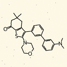 CN(C)c1cccc(-c2cccc(-c3c(N4CCOCC4)sc4c3CC(C)(C)CC4=O)c2)c1